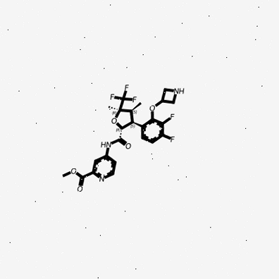 COC(=O)c1cc(NC(=O)[C@@H]2O[C@@](C)(C(F)(F)F)[C@@H](C)[C@H]2c2ccc(F)c(F)c2OC2CNC2)ccn1